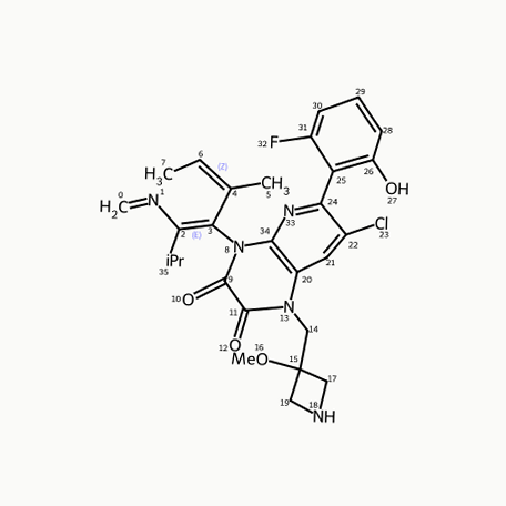 C=N/C(=C(\C(C)=C/C)n1c(=O)c(=O)n(CC2(OC)CNC2)c2cc(Cl)c(-c3c(O)cccc3F)nc21)C(C)C